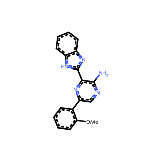 COc1ccccc1-c1cnc(N)c(-c2nc3ccccc3[nH]2)n1